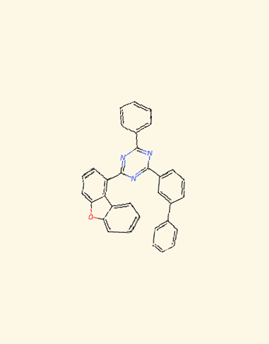 c1ccc(-c2cccc(-c3nc(-c4ccccc4)nc(-c4cccc5oc6ccccc6c45)n3)c2)cc1